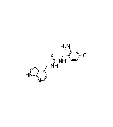 Nc1cc(Cl)ccc1CNC(=S)NCc1ccnc2[nH]ccc12